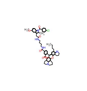 CCCCc1cc2c(c3c1=NCCC3)Oc1c(cc3c4c1CCCN4CCC3)C=2c1ccc(C(=O)NCCCCNC(=O)Cc2c(C)n(C(=O)c3ccc(Cl)cc3)c3ccc(OC)cc23)cc1C(=O)O